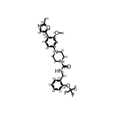 COc1cc(N2CCN(C(=O)NCc3ccccc3OC(F)(F)F)CC2)ccc1-c1cnc(C)o1